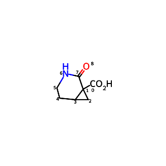 O=C(O)C12CC1CCNC2=O